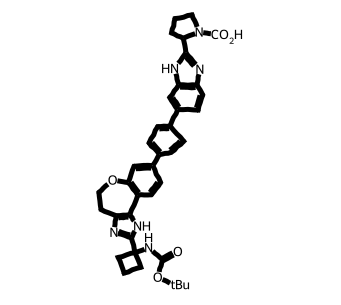 CC(C)(C)OC(=O)NC1(c2nc3c([nH]2)-c2ccc(-c4ccc(-c5ccc6nc(C7CCCN7C(=O)O)[nH]c6c5)cc4)cc2OCC3)CCC1